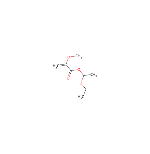 C=C(OC)C(=O)OC(C)OCC